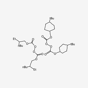 CC(C)(C)C1CCC(OC(=O)OOC(=O)OC2CCC(C(C)(C)C)CC2)CC1.CCCCC(CC)COC(=O)OOC(=O)OCC(CC)CCCC